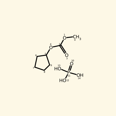 COC(=O)OC1CCCC1.O=P(O)(O)O